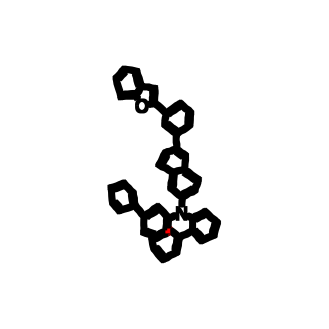 c1ccc(-c2cccc(N(c3ccc4cc(-c5cccc(-c6cc7ccccc7o6)c5)ccc4c3)c3ccccc3-c3ccccc3)c2)cc1